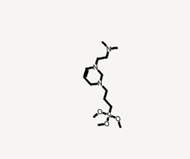 CO[Si](CCCN1CC=CN(CCN(C)C)C1)(OC)OC